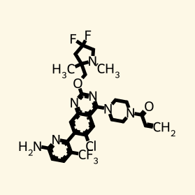 C=CC(=O)N1CCN(c2nc(OCC3(C)CC(F)(F)CN3C)nc3cc(-c4nc(N)ccc4C(F)(F)F)c(Cl)cc23)CC1